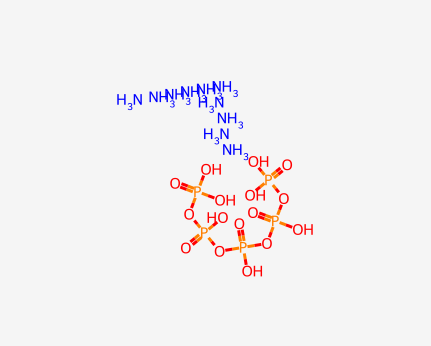 N.N.N.N.N.N.N.N.N.N.O=P(O)(O)OP(=O)(O)OP(=O)(O)OP(=O)(O)OP(=O)(O)O